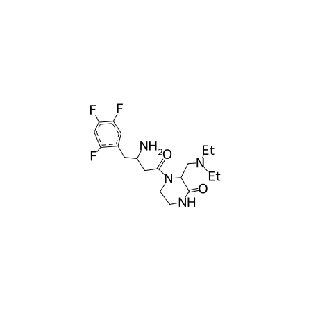 CCN(CC)CC1C(=O)NCCN1C(=O)CC(N)Cc1cc(F)c(F)cc1F